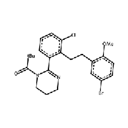 COc1ccc(Br)cc1CCc1c(Cl)cccc1C1=NCCCN1C(=O)C(C)(C)C